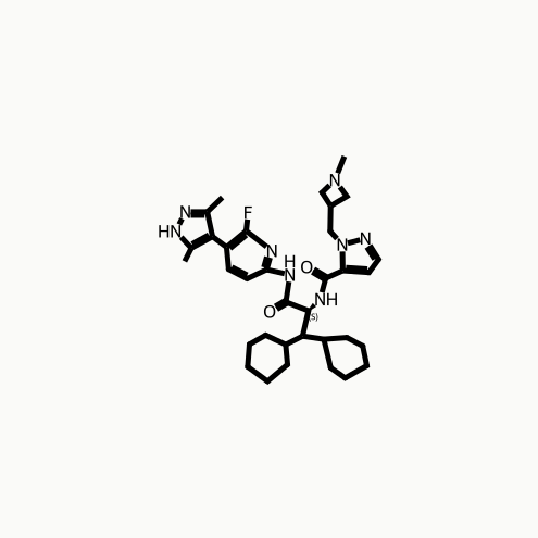 Cc1n[nH]c(C)c1-c1ccc(NC(=O)[C@@H](NC(=O)c2ccnn2CC2CN(C)C2)C(C2CCCCC2)C2CCCCC2)nc1F